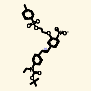 CCN(C(=O)OC(C)(C)C)c1ccc(/C=C/c2ccc([N+](=O)[O-])c(OCCOS(=O)(=O)c3ccc(C)cc3)c2)cc1